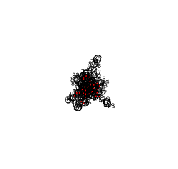 C[Si](C)(CCC1CC2CC(C1)O2)O[Si]1(c2ccccc2)O[Si]2(c3ccccc3)O[Si](O[Si](C)(C)CCC3CCC4OC4C3)(c3ccccc3)O[Si](c3ccccc3)(O1)O[Si]1(c3ccccc3)O[Si](O[Si](C)(C)CCC3CCC4OC4C3)(c3ccccc3)O[Si](c3ccccc3)(O[Si](O[Si](C)(C)CCC3CCC4OC4C3)(c3ccccc3)O1)O2